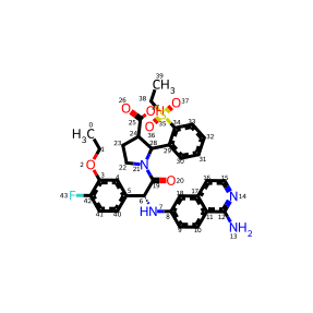 CCOc1cc([C@@H](Nc2ccc3c(N)nccc3c2)C(=O)N2CCC(C(=O)O)C2c2ccccc2S(=O)(=O)CC)ccc1F